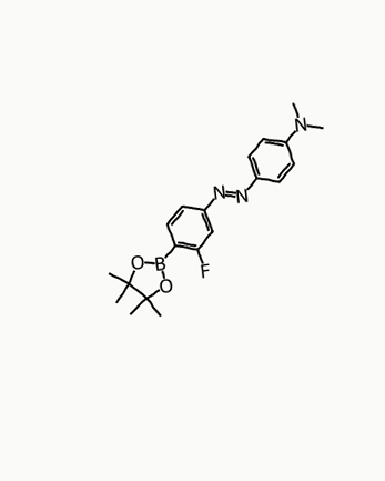 CN(C)c1ccc(/N=N/c2ccc(B3OC(C)(C)C(C)(C)O3)c(F)c2)cc1